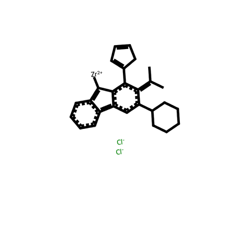 CC(C)=c1c(C2CCCCC2)cc2c(c1C1=CC=CC1)[C]([Zr+2])=c1ccccc1=2.[Cl-].[Cl-]